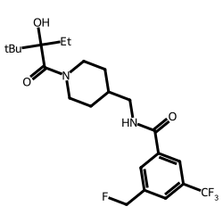 CCC(O)(C(=O)N1CCC(CNC(=O)c2cc(CF)cc(C(F)(F)F)c2)CC1)C(C)(C)C